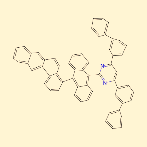 c1ccc(-c2cccc(-c3cc(-c4cccc(-c5ccccc5)c4)nc(-c4c5ccccc5c(-c5cccc6c5ccc5cc7ccccc7cc56)c5ccccc45)n3)c2)cc1